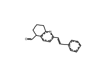 O=CC1CCCc2nc(C=Cc3ccccc3)ccc21